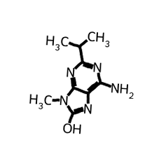 CC(C)c1nc(N)c2nc(O)n(C)c2n1